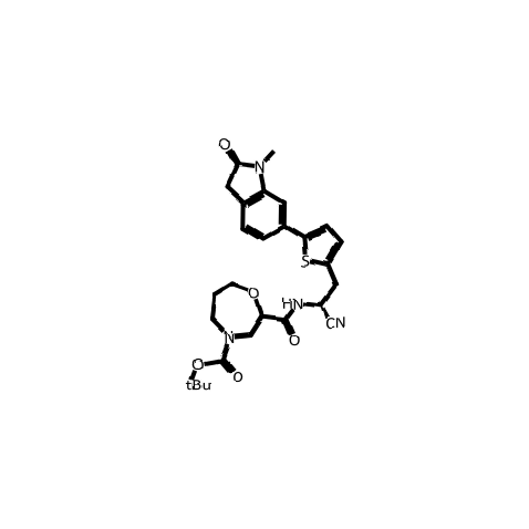 CN1C(=O)Cc2ccc(-c3ccc(C[C@@H](C#N)NC(=O)C4CN(C(=O)OC(C)(C)C)CCCO4)s3)cc21